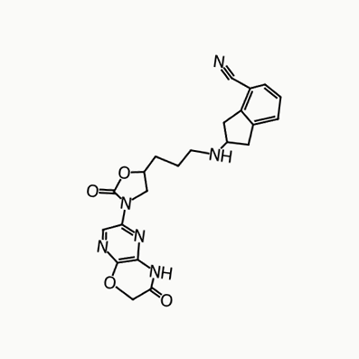 N#Cc1cccc2c1CC(NCCCC1CN(c3cnc4c(n3)NC(=O)CO4)C(=O)O1)C2